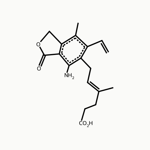 C=Cc1c(C)c2c(c(N)c1C/C=C(\C)CCC(=O)O)C(=O)OC2